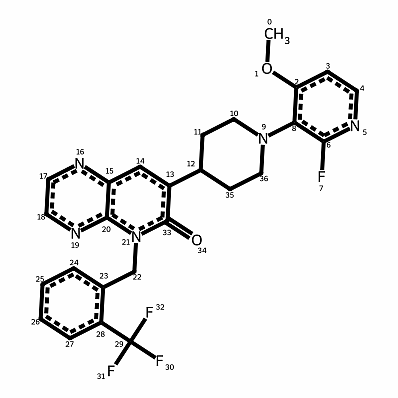 COc1ccnc(F)c1N1CCC(c2cc3nccnc3n(Cc3ccccc3C(F)(F)F)c2=O)CC1